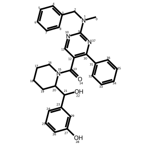 CN(Cc1ccccc1)c1ncc(C(=O)N2CCCCC2C(O)c2cccc(O)c2)c(-c2ccccc2)n1